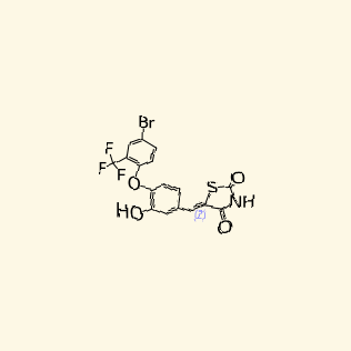 O=C1NC(=O)/C(=C/c2ccc(Oc3ccc(Br)cc3C(F)(F)F)c(O)c2)S1